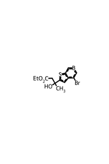 CCOC(=O)CC(C)(O)c1cc2c(Br)cbcc2s1